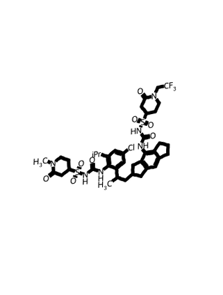 CC(C)c1cc(Cl)cc(C(C)CC2Cc3cc4c(c(NC(=O)NS(=O)(=O)C5CCN(CC(F)(F)F)C(=O)C5)c3C2)CCC4)c1NC(=O)NS(=O)(=O)C1CCN(C)C(=O)C1